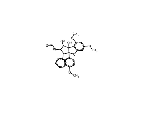 COc1ccc(C23Oc4cc(OC)cc(OC)c4[C@]2(O)[C@H](O)[C@H](NC=O)[C@H]3c2ccccc2)cc1